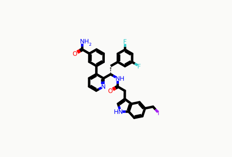 NC(=O)c1cccc(-c2cccnc2[C@H](Cc2cc(F)cc(F)c2)NC(=O)Cc2c[nH]c3ccc(CI)cc23)c1